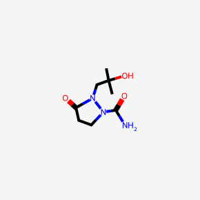 CC(C)(O)CN1C(=O)CCN1C(N)=O